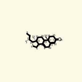 CC[C@@H](C)[C@H]1CCC2C3=CCC4=CC(=O)CC[C@@]4(C)C3CC[C@@]21C